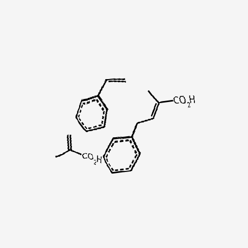 C=C(C)C(=O)O.C=Cc1ccccc1.CC(=CCc1ccccc1)C(=O)O